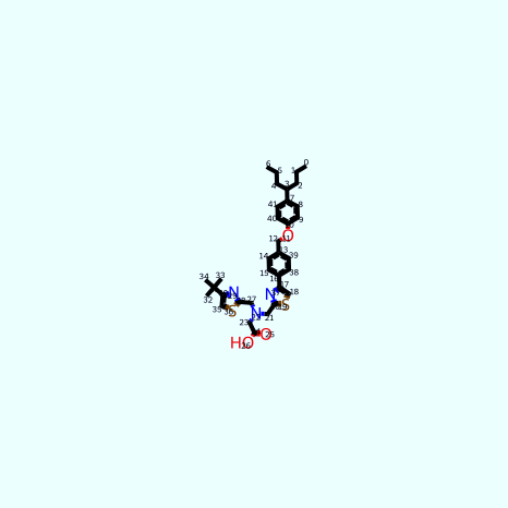 CCCC(CCC)c1ccc(OCc2ccc(-c3csc(CN(CC(=O)O)Cc4nc(C(C)(C)C)cs4)n3)cc2)cc1